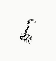 C=C(NCCCCCOCCN)C1CCCN1C(=C)C